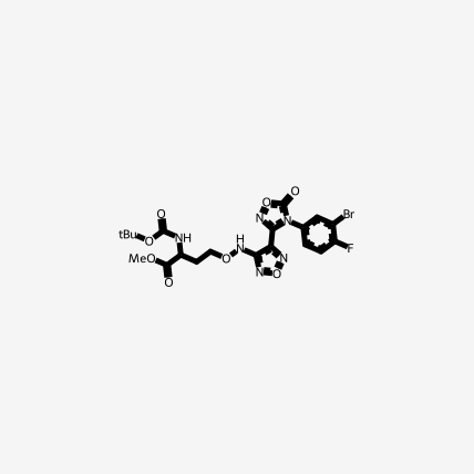 COC(=O)C(CCONc1nonc1-c1noc(=O)n1-c1ccc(F)c(Br)c1)NC(=O)OC(C)(C)C